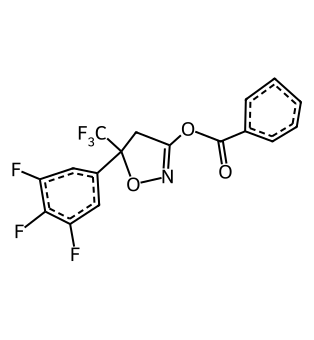 O=C(OC1=NOC(c2cc(F)c(F)c(F)c2)(C(F)(F)F)C1)c1ccccc1